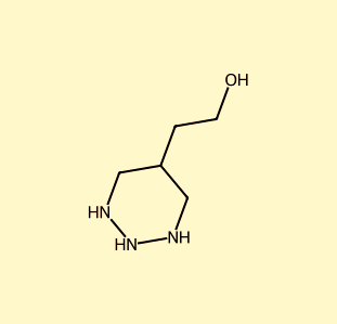 OCCC1CNNNC1